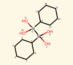 O[Si](O)(C1CCCCC1)[Si](O)(O)C1CCCCC1